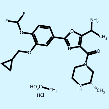 CC(=O)O.CC(N)c1oc(-c2ccc(OC(F)F)c(OCC3CC3)c2)nc1C(=O)N1CCN[C@@H](C)C1.Cl